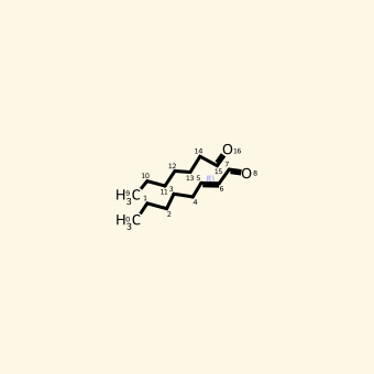 CCCCC/C=C/C=O.CCCCCCC=O